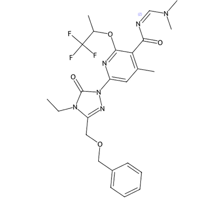 CCn1c(COCc2ccccc2)nn(-c2cc(C)c(C(=O)/N=C\N(C)C)c(OC(C)C(F)(F)F)n2)c1=O